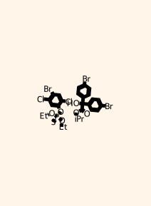 CC(C)OC(=O)C(O)(c1ccc(Br)cc1)c1ccc(Br)cc1.CCOP(=S)(OCC)Oc1cc(Cl)c(Br)cc1Cl